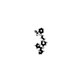 O=[N+]([O-])c1ccccc1OCCCN1CCC(OC(c2cccs2)c2cccs2)CC1